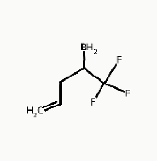 BC(CC=C)C(F)(F)F